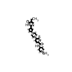 CCc1cnc(C2=CC(N3CCN(c4ccc(C(=O)NC5CCN(C)CC5)nc4F)CC3)CC2)[nH]c1=O